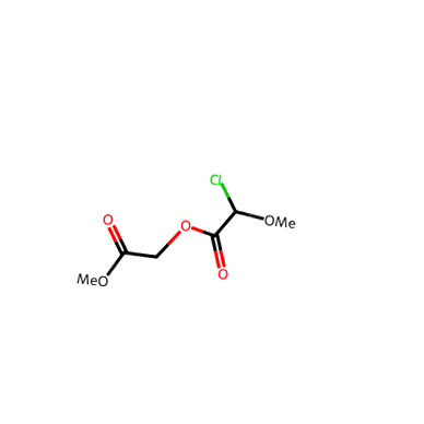 COC(=O)COC(=O)C(Cl)OC